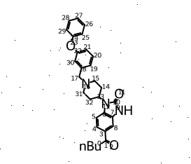 CCCCC(=O)c1ccc2c(c1)[nH]c(=O)n2C1CCN(Cc2cccc(Oc3ccccc3)c2)CC1